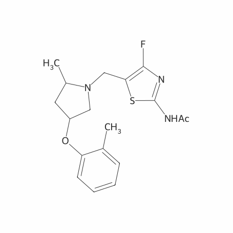 CC(=O)Nc1nc(F)c(CN2CC(Oc3ccccc3C)CC2C)s1